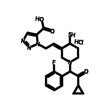 Cl.O=C(O)c1cnnn1C/C=C1\CN(C(C(=O)C2CC2)c2ccccc2F)CCC1S